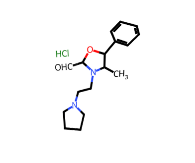 CC1C(c2ccccc2)OC(C=O)N1CCN1CCCC1.Cl